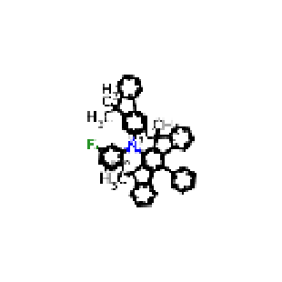 CC1(C)c2ccccc2-c2ccc(N(c3cccc(F)c3)c3c4c(c(-c5ccccc5)c5c3C(C)(C)c3ccccc3-5)-c3ccccc3C4(C)C)cc21